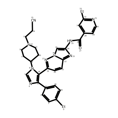 CCc1ccc(-c2ncn(C3CCN(CCC#N)CC3)c2-c2ccc3nc(NC(=O)c4ccnc(CC)c4)cn3n2)cc1